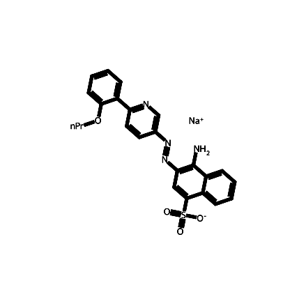 CCCOc1ccccc1-c1ccc(N=Nc2cc(S(=O)(=O)[O-])c3ccccc3c2N)cn1.[Na+]